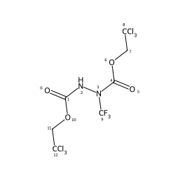 O=C(NN(C(=O)OCC(Cl)(Cl)Cl)C(F)(F)F)OCC(Cl)(Cl)Cl